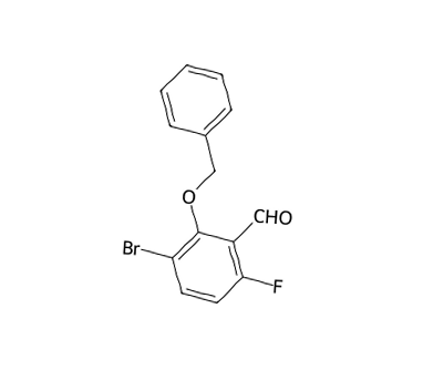 O=Cc1c(F)ccc(Br)c1OCc1ccccc1